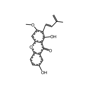 C=C(C)C=Cc1c(OC)cc2oc3ccc(O)cc3c(=O)c2c1O